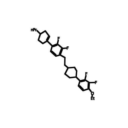 CCCC1CC=C(c2ccc(CCC3CCC(c4ccc(OCC)c(F)c4F)CC3)c(F)c2F)CC1